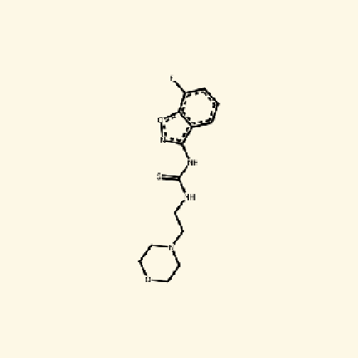 Fc1cccc2c(NC(=S)NCCN3CCOCC3)noc12